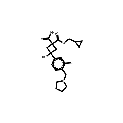 NC(=O)C1(C(=O)OCC2CC2)CC(O)(c2ccc(CN3CCCC3)c(Cl)c2)C1